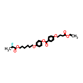 C=COC(=O)CCCOc1ccc(C(=O)Oc2ccc(OCCCCCCOC(=O)C(=C)F)cc2)cc1